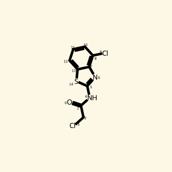 O=C(CCl)Nc1nc2c(Cl)cccc2s1